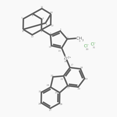 CC1C=C(C23CC4CC(CC(C4)C2)C3)C=[C]1[Zr+2][c]1cccc2c1Cc1ccccc1-2.[Cl-].[Cl-]